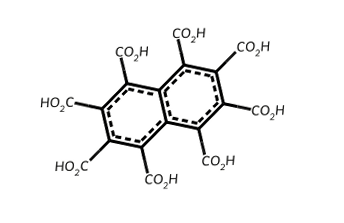 O=C(O)c1c(C(=O)O)c(C(=O)O)c2c(C(=O)O)c(C(=O)O)c(C(=O)O)c(C(=O)O)c2c1C(=O)O